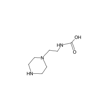 O=C(O)NCCN1CCNCC1